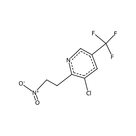 O=[N+]([O-])CCc1ncc(C(F)(F)F)cc1Cl